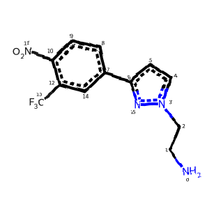 NCCn1ccc(-c2ccc([N+](=O)[O-])c(C(F)(F)F)c2)n1